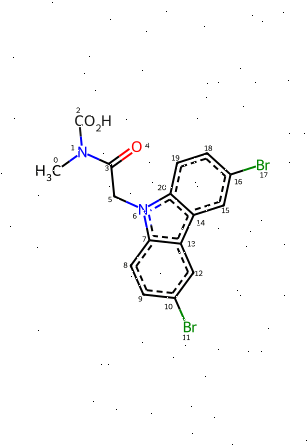 CN(C(=O)O)C(=O)Cn1c2ccc(Br)cc2c2cc(Br)ccc21